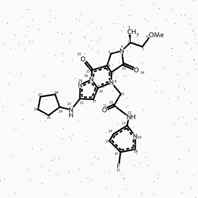 COC[C@H](C)N1Cc2c(n(CC(=O)Nc3ccc(F)cn3)c3cc(NC4CCCC4)nn3c2=O)C1=O